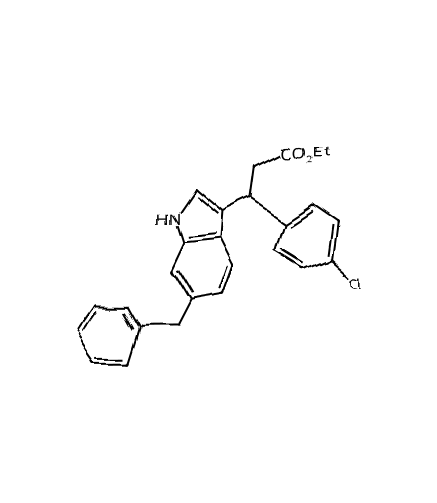 CCOC(=O)CC(c1ccc(Cl)cc1)c1c[nH]c2cc(Cc3ccccc3)ccc12